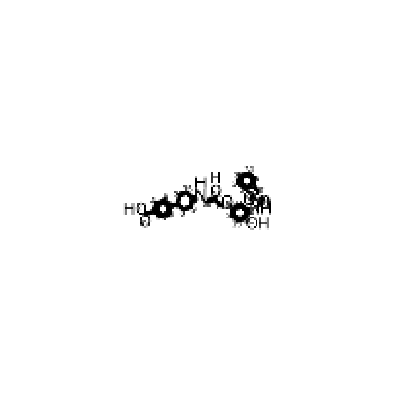 O=C(O)c1ccc(C2CCC(NC[C@H](O)COc3ccc(O)c(NS(=O)(=O)Cc4ccccc4)c3)CC2)cc1